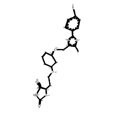 Cc1oc(-c2ccc(F)cc2)nc1COC1CCCC(OCCC2SC(=O)NC2=O)C1